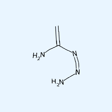 C=C(N)/N=N\N